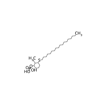 CCCCCCCCCCCCCCCCCCSC1CCCC(OP(=O)(O)O)C1CC